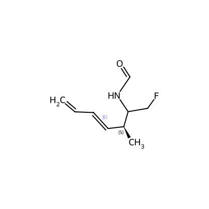 C=C/C=C/[C@H](C)C(CF)NC=O